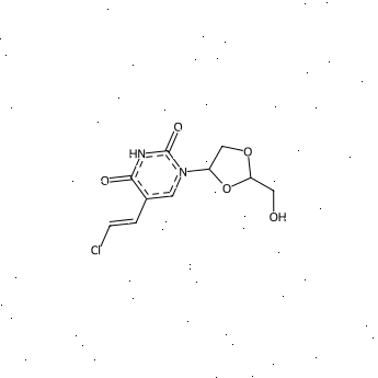 O=c1[nH]c(=O)n(C2COC(CO)O2)cc1/C=C/Cl